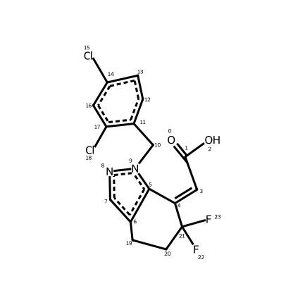 O=C(O)/C=C1\c2c(cnn2Cc2ccc(Cl)cc2Cl)CCC1(F)F